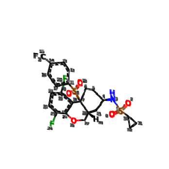 O=S(=O)(N[C@@H]1CC[C@@]2(S(=O)(=O)c3ccc(C(F)(F)F)cc3)c3c(F)ccc(F)c3OC[C@H]2C1)C1CC1